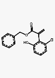 C=C(C(=O)OCc1ccccc1)c1c(O)cccc1Cl